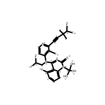 CC(C)(C#Cc1nccc(N(CC(F)F)c2nc(=O)n(C(O)(O)O)c3cccc(F)c23)c1F)C(F)F